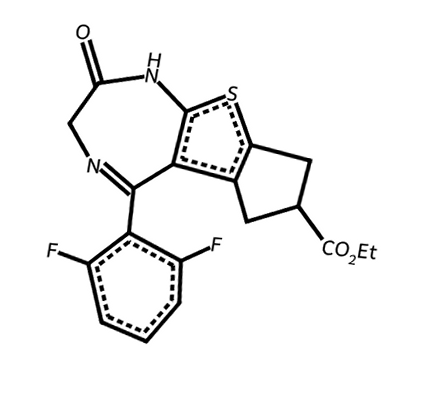 CCOC(=O)C1Cc2sc3c(c2C1)C(c1c(F)cccc1F)=NCC(=O)N3